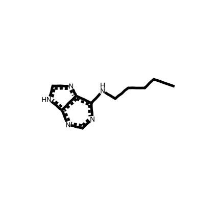 CCCCCNc1ncnc2[nH]cnc12